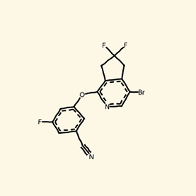 N#Cc1cc(F)cc(Oc2ncc(Br)c3c2CC(F)(F)C3)c1